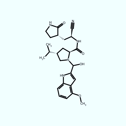 COc1cccc2[nH]c(C(O)N3C[C@H](C(C)C)C[C@H]3C(=O)N[C@H](C#N)C[C@@H]3CCNC3=O)cc12